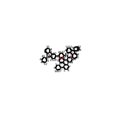 c1ccc(-c2ccccc2-c2ccccc2-c2ccccc2N(c2ccc(-c3ccc4c(c3)c3ccccc3n4-c3ccccc3)cc2)c2cccc3c2-c2ccccc2C32CC3CCC2C3)cc1